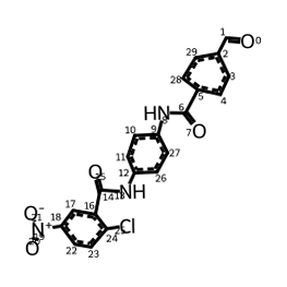 O=Cc1ccc(C(=O)Nc2ccc(NC(=O)c3cc([N+](=O)[O-])ccc3Cl)cc2)cc1